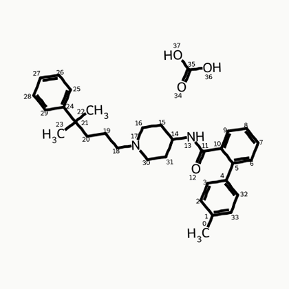 Cc1ccc(-c2ccccc2C(=O)NC2CCN(CCCC(C)(C)c3ccccc3)CC2)cc1.O=C(O)O